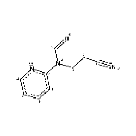 N#CCCN(C=O)c1ccccn1